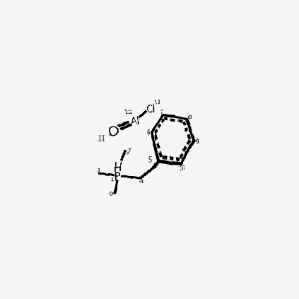 C[PH](C)(C)Cc1ccccc1.[O]=[Al][Cl]